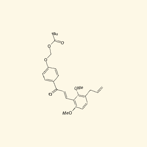 C=CCc1ccc(OC)c(C=CC(=O)c2ccc(OCOC(=O)C(C)(C)C)cc2)c1OC